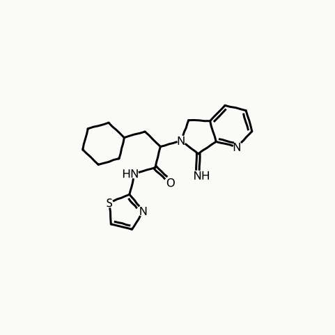 N=C1c2ncccc2CN1C(CC1CCCCC1)C(=O)Nc1nccs1